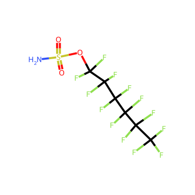 NS(=O)(=O)OC(F)(F)C(F)(F)C(F)(F)C(F)(F)C(F)(F)C(F)(F)F